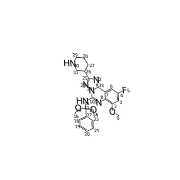 COc1cc(F)cc2c1nc(NC(OC)(OC)c1ccccc1)n1nc(C3CCCNC3)nc21